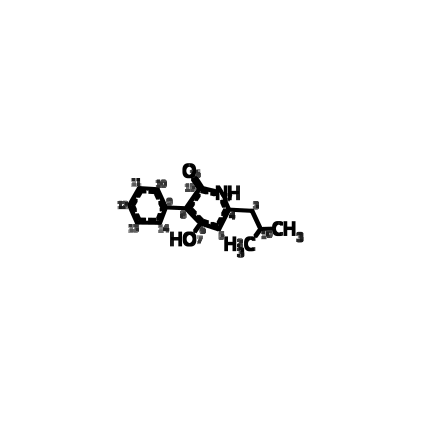 CC(C)Cc1cc(O)c(-c2ccccc2)c(=O)[nH]1